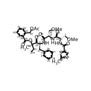 COC[C@H](NC(=O)c1cnc(C)s1)C(=O)N[C@@H](COC)C(=O)N[C@@H](Cc1ccccc1)C(=O)[C@@](C)(CI)OC(=O)c1ccccc1COC(C)=O